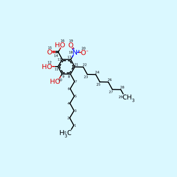 CCCCCCCCc1c(O)c(O)c(C(=O)O)c([N+](=O)[O-])c1CCCCCCCC